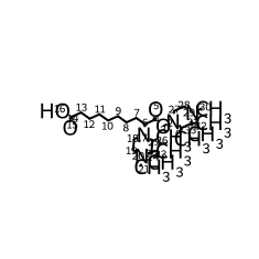 CC1N(OC(=O)C(CCCCCCCC(=O)O)N2CCN(C)C(C)(C)C2C)CCN(C)C1(C)C